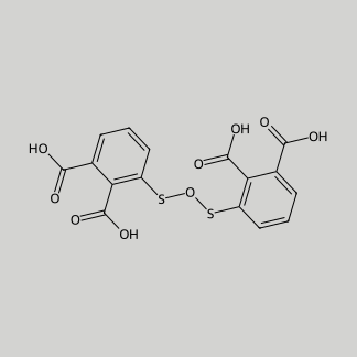 O=C(O)c1cccc(SOSc2cccc(C(=O)O)c2C(=O)O)c1C(=O)O